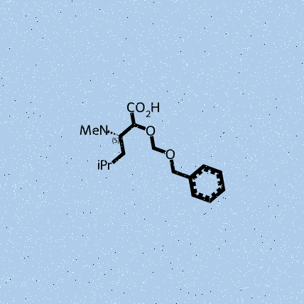 CN[C@@H](CC(C)C)C(OCOCc1ccccc1)C(=O)O